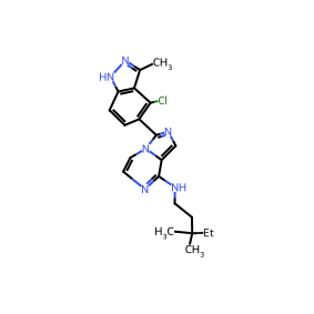 CCC(C)(C)CCNc1nccn2c(-c3ccc4[nH]nc(C)c4c3Cl)ncc12